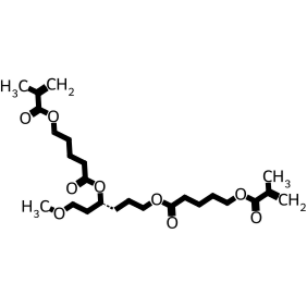 C=C(C)C(=O)OCCCCC(=O)OCCC[C@H](CCOC)OC(=O)CCCCOC(=O)C(=C)C